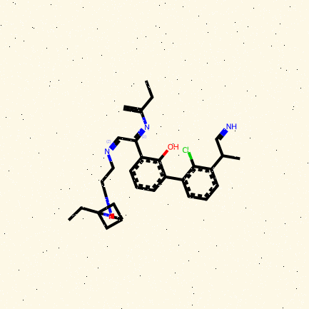 C=C(CC)/N=C(\C=N/CCN1CC2CC1(CC)C2)c1cccc(-c2cccc(C(C)C=N)c2Cl)c1O